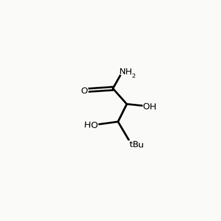 CC(C)(C)C(O)C(O)C(N)=O